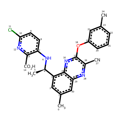 Cc1cc([C@@H](C)Nc2ccc(Cl)nc2C(=O)O)c2nc(Oc3cccc(C#N)c3)c(C#N)nc2c1